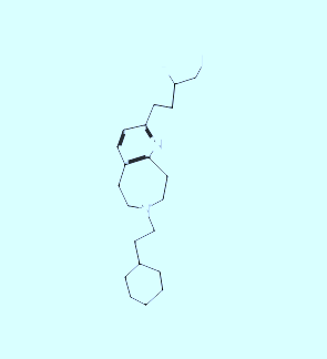 FCC(F)CCc1ccc2c(n1)CCN(CCC1CCCCC1)CC2